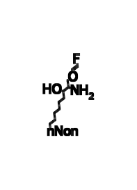 CCCCCCCCCCCCCCCC(O)C(N)COC=CF